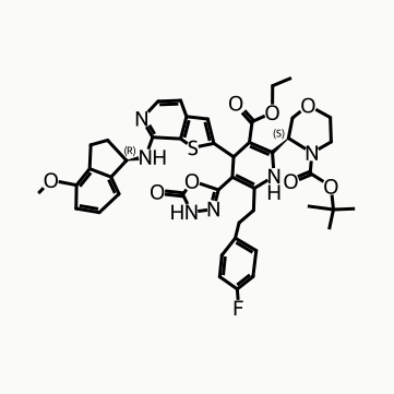 CCOC(=O)C1=C([C@H]2COCCN2C(=O)OC(C)(C)C)NC(CCc2ccc(F)cc2)=C(c2n[nH]c(=O)o2)C1c1cc2ccnc(N[C@@H]3CCc4c(OC)cccc43)c2s1